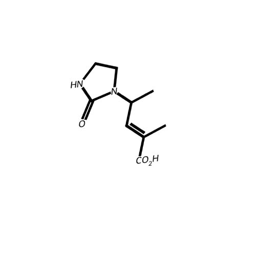 CC(=CC(C)N1CCNC1=O)C(=O)O